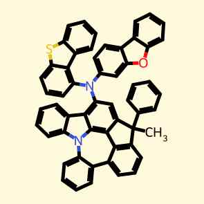 CC1(c2ccccc2)c2cccc3c2-c2c1cc(N(c1ccc4c(c1)oc1ccccc14)c1cccc4sc5ccccc5c14)c1c4ccccc4n(c21)-c1ccccc1-3